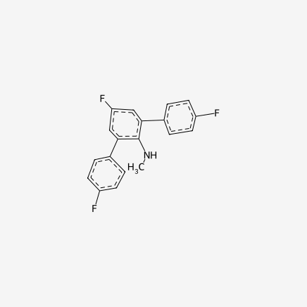 CNc1c(-c2ccc(F)cc2)cc(F)cc1-c1ccc(F)cc1